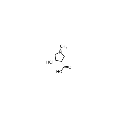 CN1CC[C@@H](C(=O)O)C1.Cl